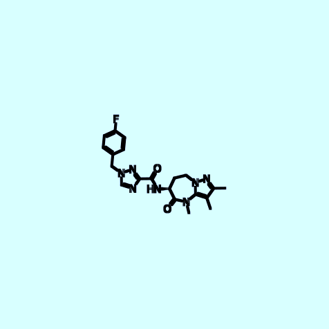 Cc1nn2c(c1C)N(C)C(=O)[C@@H](NC(=O)c1ncn(Cc3ccc(F)cc3)n1)CC2